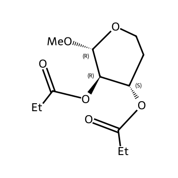 CCC(=O)O[C@H]1[C@H](OC)OCC[C@@H]1OC(=O)CC